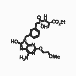 CCOC(=O)[C@H](C)NP(=O)(O)Cc1cccc(Cn2c(O)nc3c(N)nc(OCCOC)nc32)c1